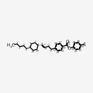 CCCCC[C@H]1CC[C@H](/C=C/CCc2ccc(C(=O)Oc3ccc(F)cc3)cc2)CC1